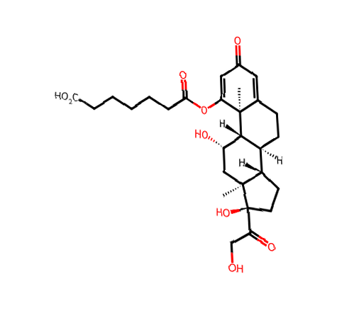 C[C@@]12C(=CC(=O)C=C1OC(=O)CCCCCC(=O)O)CC[C@@H]1[C@@H]2[C@@H](O)C[C@@]2(C)[C@H]1CC[C@]2(O)C(=O)CO